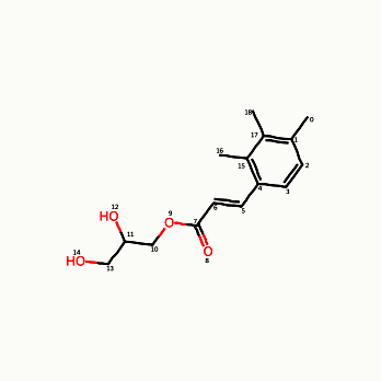 Cc1ccc(C=CC(=O)OCC(O)CO)c(C)c1C